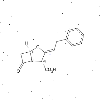 O=C(O)[C@H]1/C(=C/Cc2ccccc2)O[C@@H]2CC(=O)N21